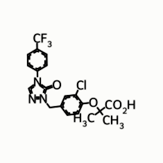 CC(C)(Oc1ccc(Cn2ncn(-c3ccc(C(F)(F)F)cc3)c2=O)cc1Cl)C(=O)O